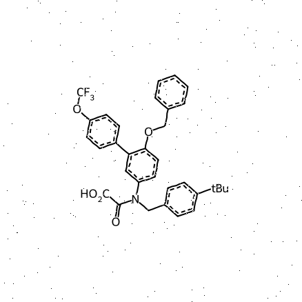 CC(C)(C)c1ccc(CN(C(=O)C(=O)O)c2ccc(OCc3ccccc3)c(-c3ccc(OC(F)(F)F)cc3)c2)cc1